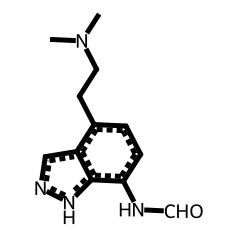 CN(C)CCc1ccc(NC=O)c2[nH]ncc12